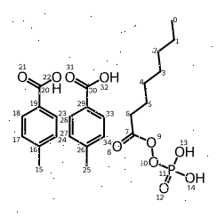 CCCCCCCC(=O)OOP(=O)(O)O.Cc1ccc(C(=O)O)cc1.Cc1ccc(C(=O)O)cc1